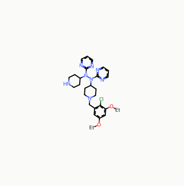 CCOc1cc(CN2CCC(N(c3ncccn3)N(c3ncccn3)C3CCNCC3)CC2)c(Cl)c(OCC)c1